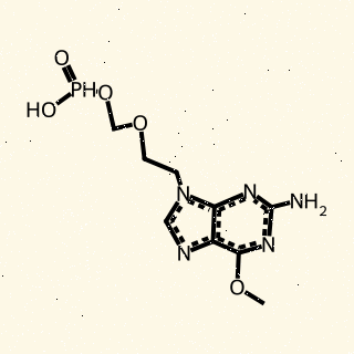 COc1nc(N)nc2c1ncn2CCOCO[PH](=O)O